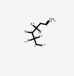 C=CCC(F)(F)C(F)C(F)(F)CF